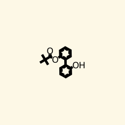 CC(C)(C)C(=O)Oc1ccccc1-c1ccccc1O